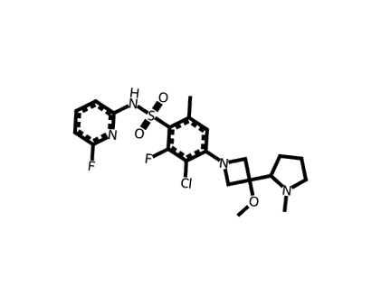 COC1(C2CCCN2C)CN(c2cc(C)c(S(=O)(=O)Nc3cccc(F)n3)c(F)c2Cl)C1